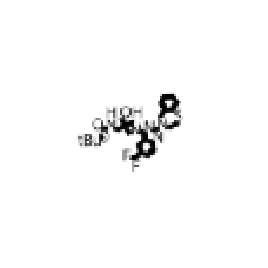 CC(C)(C)OC(=O)NCC1(CO)CN(c2nc(N3CCSc4ccccc4C3)nc3ccc(C(F)F)cc23)C1